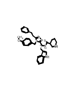 COc1ccc(Cn2c(CCc3ccccc3)nnc2[C@@H](Cc2c[nH]c3ccccc23)NC(=O)C2CCCNC2)cc1